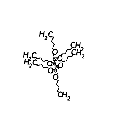 C=CCCCOC[C@H](OCCCC=C)[C@H](OCCCC=C)[C@@H](OCCCC=C)[C@H](COCCCC=C)OCCCC=C